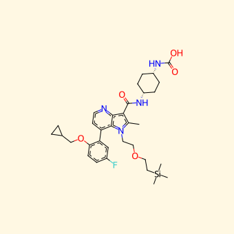 Cc1c(C(=O)N[C@H]2CC[C@@H](NC(=O)O)CC2)c2nccc(-c3cc(F)ccc3OCC3CC3)c2n1CCOCC[Si](C)(C)C